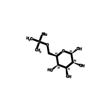 CC(C)(C)[Si](C)(C)OC[C@H]1O[C@H](O)[C@H](O)[C@@H](O)[C@@H]1O